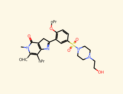 CCCOc1ccc(S(=O)(=O)N2CCN(CCO)CC2)cc1C1=Nc2c(CCC)c(C=O)n(C)c(=O)c2C1